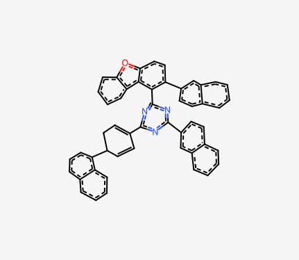 C1=CC(c2cccc3ccccc23)CC=C1c1nc(-c2ccc3ccccc3c2)nc(-c2c(-c3ccc4ccccc4c3)ccc3oc4ccccc4c23)n1